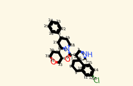 O=C([C@@H]1CNC[C@]12CCCc1cc(Cl)ccc12)N1CC[C@@H](c2ccccc2)C[C@H]1C1CCOCC1